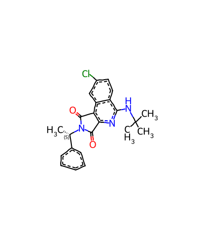 C[C@@H](c1ccccc1)N1C(=O)c2nc(NC(C)(C)C)c3ccc(Cl)cc3c2C1=O